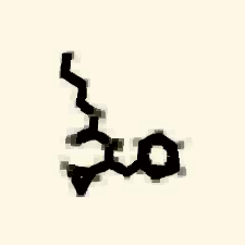 CCCCOC(=O)NC(Cc1ccccc1)C1CO1